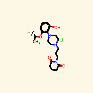 CC(C)Oc1cccc(O)c1N1CCN(CCCN2C(=O)CCCC2=O)CC1.Cl